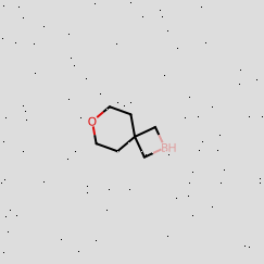 B1CC2(C1)CCOCC2